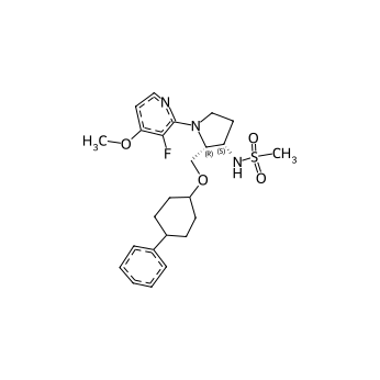 COc1ccnc(N2CC[C@H](NS(C)(=O)=O)[C@@H]2COC2CCC(c3ccccc3)CC2)c1F